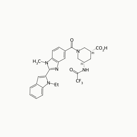 CCn1c(-c2nc3cc(C(=O)N4C[C@@H](NC(=O)C(F)(F)F)C[C@@H](C(=O)O)C4)ccc3n2C)cc2ccccc21